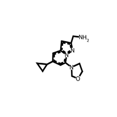 NCc1cc2cc(C3CC3)cc(N3CCOC3)n2n1